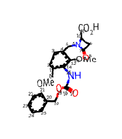 COc1ccc(CN2C(=O)CC2C(=O)O)c(OC)c1NC(=O)OCc1ccccc1